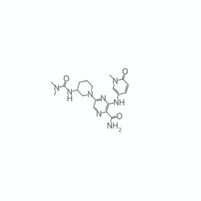 CN(C)C(=O)NC1CCCN(c2cnc(C(N)=O)c(Nc3ccc(=O)n(C)c3)n2)C1